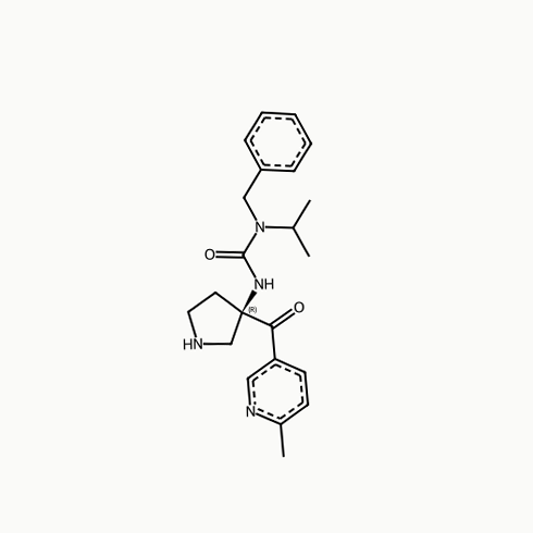 Cc1ccc(C(=O)[C@@]2(NC(=O)N(Cc3ccccc3)C(C)C)CCNC2)cn1